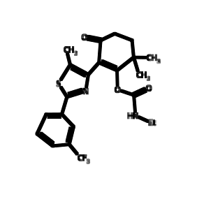 CCNC(=O)OC1=C(c2nc(-c3cccc(C(F)(F)F)c3)sc2C)C(=O)CCC1(C)C